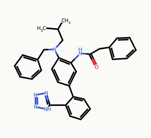 CC(C)CN(Cc1ccccc1)c1ccc(-c2ccccc2-c2nnn[nH]2)cc1NC(=O)Cc1ccccc1